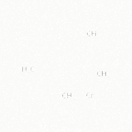 CC1=C(C)C(C)=C(C)C1.[Cr]